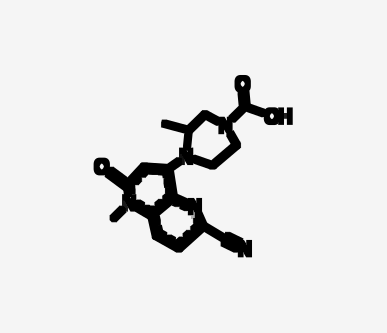 CC1CN(C(=O)O)CCN1c1cc(=O)n(C)c2ccc(C#N)nc12